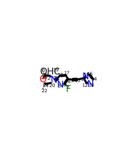 C[C@@H]1CN(c2nc(F)c(C#Cc3cnccn3)cc2C=O)C[C@H](C)O1